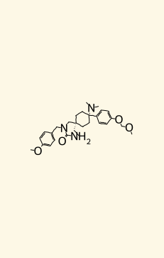 CC[C@]1(CN(Cc2ccc(OC)cc2)C(N)=O)CC[C@](c2ccc(OCOC)cc2)(N(C)C)CC1